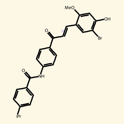 COc1cc(O)c(Br)cc1/C=C/C(=O)c1ccc(NC(=O)c2ccc(C(C)C)cc2)cc1